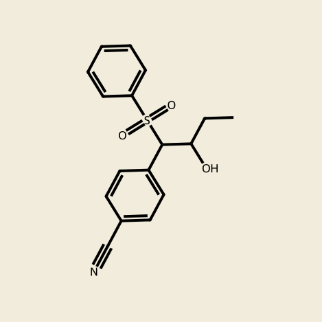 CCC(O)C(c1ccc(C#N)cc1)S(=O)(=O)c1ccccc1